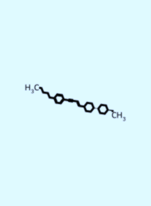 CCCCCc1ccc(C#C/C=C/C2CCC([C@H]3CC[C@H](CC)CC3)CC2)cc1